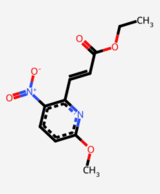 CCOC(=O)C=Cc1nc(OC)ccc1[N+](=O)[O-]